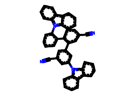 N#Cc1cc(-c2cc(C#N)ccc2-c2ccccc2-n2c3ccccc3c3ccccc32)cc(-n2c3ccccc3c3ccccc32)c1